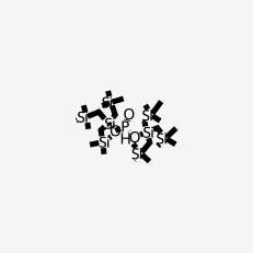 C[Si](C)(C)C[Si](C[Si](C)(C)C)(C[Si](C)(C)C)O[PH](=O)O[Si](C[Si](C)(C)C)(C[Si](C)(C)C)C[Si](C)(C)C